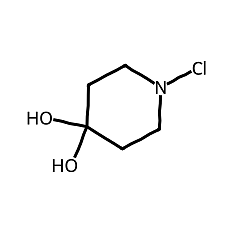 OC1(O)CCN(Cl)CC1